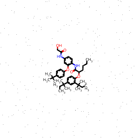 CCCCC(Oc1ccc(C(C)(C)CC)cc1C(C)(C)CC)C(=O)Nc1ccc(NC(=O)CO)cc1Oc1ccc(C(C)(C)C)cc1